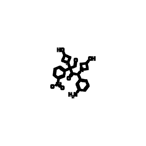 Nc1cccc(C(C(=O)C(C=O)(c2cccc([N+](=O)[O-])c2)N2CC(O)C2)N2CC(O)C2)c1